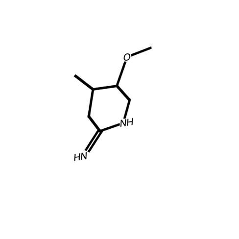 COC1CNC(=N)CC1C